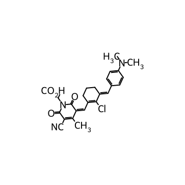 CC1=C(C#N)C(=O)N(CC(=O)O)C(=O)/C1=C\C1=C(Cl)C(=C/c2ccc(N(C)C)cc2)/CCC1